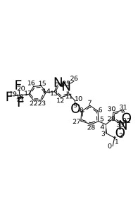 CC(=O)C[C@@H](c1ccc(OCc2cc(-c3ccc(C(F)(F)F)cc3)nn2C)cc1)c1ccon1